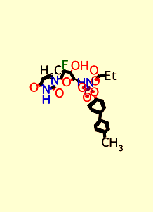 CCC(=O)ONP(=O)(OC[C@H]1O[C@@H](n2ccc(=O)[nH]c2=O)[C@](C)(F)[C@@H]1O)Oc1ccc(-c2ccc(C)cc2)cc1